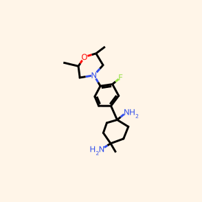 CC1CN(c2ccc(C3(N)CCC(C)(N)CC3)cc2F)CC(C)O1